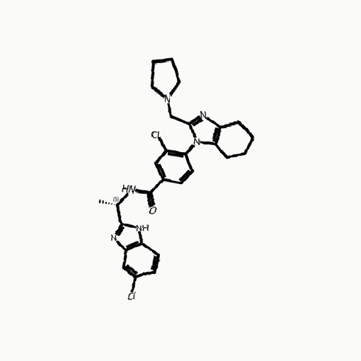 C[C@H](NC(=O)c1ccc(-n2c(CN3CCCC3)nc3c2CCCC3)c(Cl)c1)c1nc2cc(Cl)ccc2[nH]1